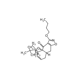 CCCCOc1noc2c1C(=O)[C@@]1(O[Si](C)(C)C(C)(C)C)C(=O)C=CC[C@H]1C2